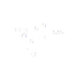 CN[C@@H]1CCN(c2cccc(S(=O)(=O)Nc3ccc(C(F)(F)F)c(-c4ccccc4C)n3)n2)C1.Cl